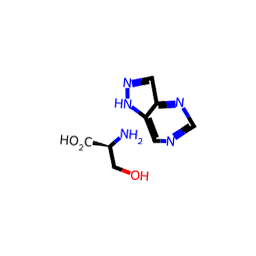 N[C@@H](CO)C(=O)O.c1ncc2[nH]ncc2n1